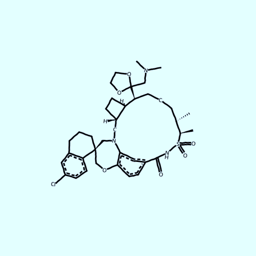 C[C@@H]1[C@@H](C)CCC[C@H](C2(CN(C)C)OCCO2)[C@@H]2CC[C@H]2CN2C[C@@]3(CCCc4cc(Cl)ccc43)COc3ccc(cc32)C(=O)NS1(=O)=O